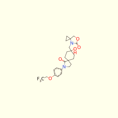 O=C1OCC2(CC2)N1CC1(O)CCC2(CCN(c3ccc(OCC(F)(F)F)cc3)C2=O)CC1